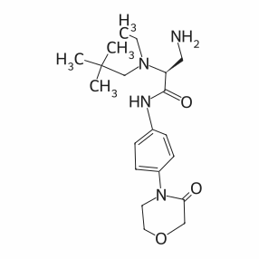 CCN(CC(C)(C)C)[C@@H](CN)C(=O)Nc1ccc(N2CCOCC2=O)cc1